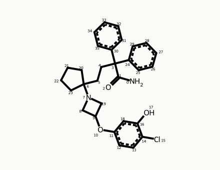 NC(=O)C(CCC1(N2CC(Oc3ccc(Cl)c(O)c3)C2)CCCC1)(c1ccccc1)c1ccccc1